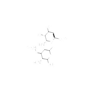 CC1OC(O)[C@@H](N)C(OS(=O)(=O)O)[C@@H]1N[C@@H]1OC(C=O)=CC(O)[C@@H]1O